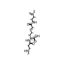 CNCCC(=O)N[C@@H](CCSCC(=O)NCCN(C)C)C(=O)O